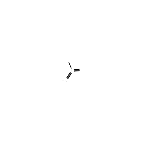 CP(=N)=S